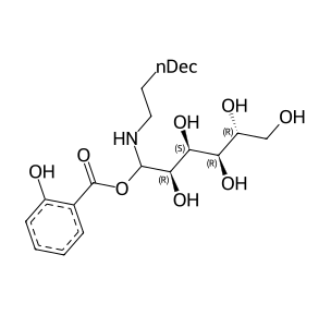 CCCCCCCCCCCCNC(OC(=O)c1ccccc1O)[C@H](O)[C@@H](O)[C@H](O)[C@H](O)CO